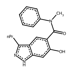 CCCc1n[nH]c2cc(O)c(C(=O)N(C)c3ccccc3)cc12